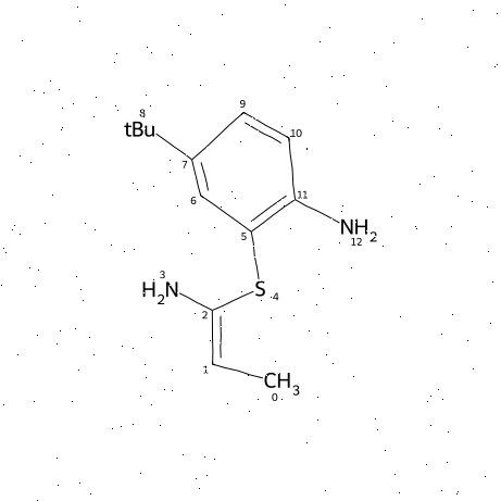 C/C=C(/N)Sc1cc(C(C)(C)C)ccc1N